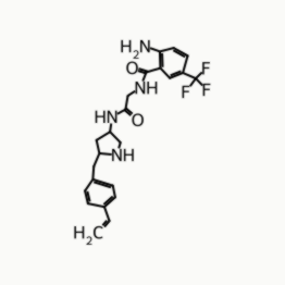 C=Cc1ccc(CC2CC(NC(=O)CNC(=O)c3cc(C(F)(F)F)ccc3N)CN2)cc1